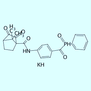 CC1(C)C2CCC1(C(=O)Nc1ccc(C(=O)[PH](=O)c3ccccc3)cc1)C(=O)C2=O.[KH]